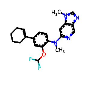 CN(c1cc2c(cn1)ncn2C)c1ccc(C2=CCCCC2)cc1OC(F)F